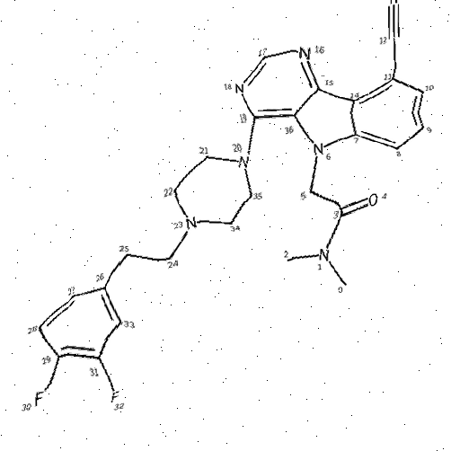 CN(C)C(=O)Cn1c2cccc(C#N)c2c2ncnc(N3CCN(CCc4ccc(F)c(F)c4)CC3)c21